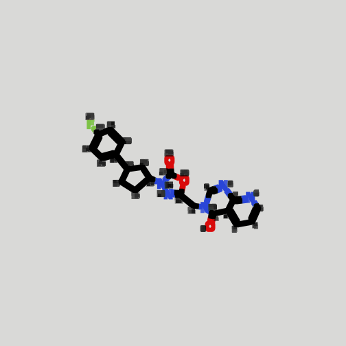 O=c1c2cccnc2ncn1Cc1nn(C2CCC(c3ccc(F)cc3)C2)c(=O)o1